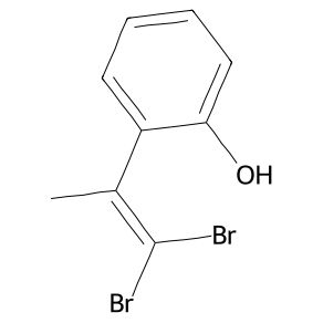 CC(=C(Br)Br)c1ccccc1O